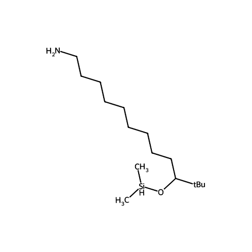 C[SiH](C)OC(CCCCCCCCCN)C(C)(C)C